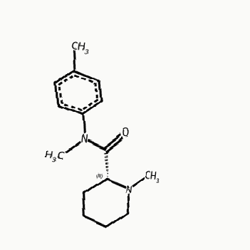 Cc1ccc(N(C)C(=O)[C@H]2CCCCN2C)cc1